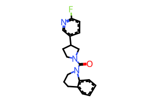 O=C(N1CCC(c2ccc(F)nc2)C1)N1CCCc2ccccc21